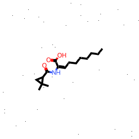 CCCCCCCC=C(NC(=O)C1CC1(C)C)C(=O)O